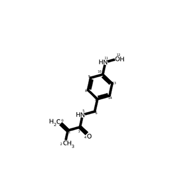 C=C(C)C(=O)NCc1ccc(NO)cc1